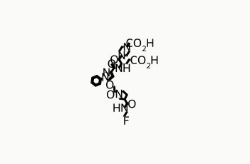 O=C(O)CC[C@H](NC(=O)c1cc(OCC(=O)N2CCC(C(=O)NCCF)C2)n(-c2ccccc2)n1)C(=O)N1CCN(C(=O)O)CC1